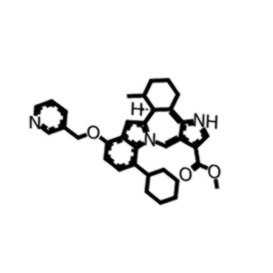 COC(=O)c1c[nH]c2c1=Cn1c(cc3c(OCc4cccnc4)ccc(C4CCCCC4)c31)[C@@H]1C=2CCCC1C